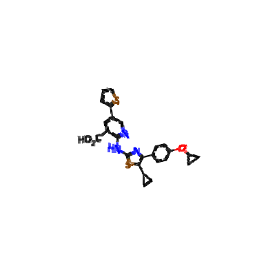 O=C(O)c1cc(-c2cccs2)cnc1Nc1nc(-c2ccc(OC3CC3)cc2)c(C2CC2)s1